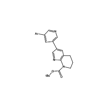 CC(=O)c1cncc(-c2cnc3c(c2)CCCN3C(=O)OC(C)(C)C)c1